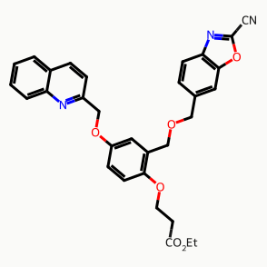 CCOC(=O)CCOc1ccc(OCc2ccc3ccccc3n2)cc1COCc1ccc2nc(C#N)oc2c1